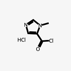 Cl.Cn1cncc1C(=O)Cl